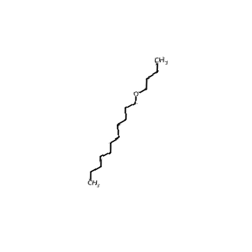 CCCCCCCCCC[CH]OCCCC